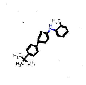 Cc1ccccc1Nc1ccc(-c2ccc(C(C)(C)C)cc2)cc1